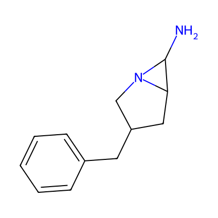 NC1C2CC(Cc3ccccc3)CN12